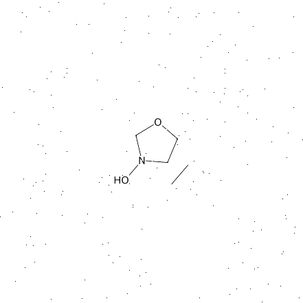 CC.ON1CCOC1